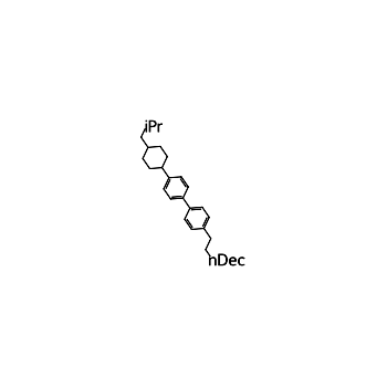 CCCCCCCCCCCCc1ccc(-c2ccc(C3CCC(CC(C)C)CC3)cc2)cc1